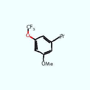 COc1cc(OC(F)(F)F)cc(C(C)C)c1